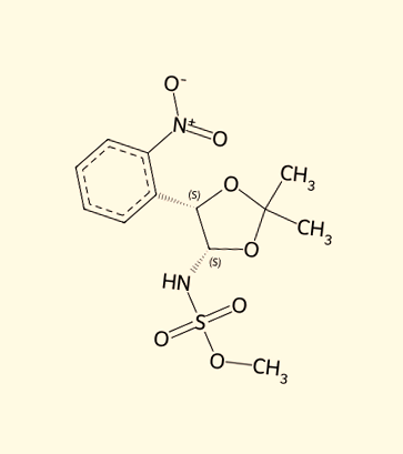 COS(=O)(=O)N[C@H]1OC(C)(C)O[C@H]1c1ccccc1[N+](=O)[O-]